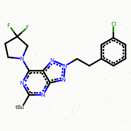 CC(C)(C)c1nc(N2CCC(F)(F)C2)c2nn(CCc3cccc(Cl)c3)nc2n1